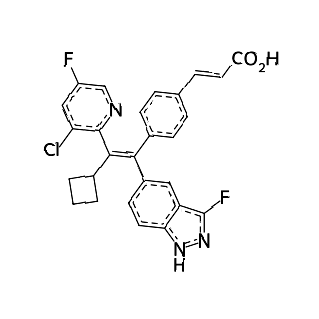 O=C(O)/C=C/c1ccc(/C(=C(\c2ncc(F)cc2Cl)C2CCC2)c2ccc3[nH]nc(F)c3c2)cc1